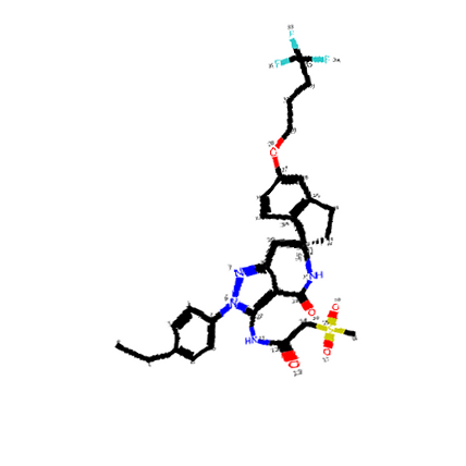 CCc1ccc(-n2nc3c(c2NC(=O)CS(C)(=O)=O)C(=O)N[C@@]2(CCc4cc(OCCCC(F)(F)F)ccc42)C3)cc1